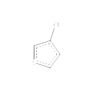 Clc1[c]s[c]c1